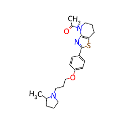 CC(=O)N1CCCc2sc(-c3ccc(OCCCN4CCCC4C)cc3)nc21